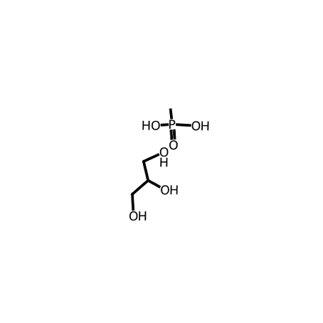 CP(=O)(O)O.OCC(O)CO